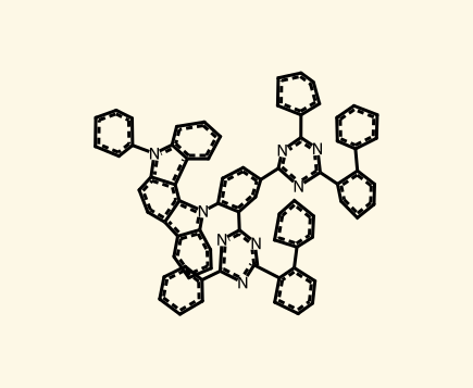 c1ccc(-c2nc(-c3ccc(-n4c5ccccc5c5ccc6c(c7ccccc7n6-c6ccccc6)c54)c(-c4nc(-c5ccccc5)nc(-c5ccccc5-c5ccccc5)n4)c3)nc(-c3ccccc3-c3ccccc3)n2)cc1